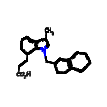 Cc1cn(Cc2ccc3ccccc3c2)c2c(C=CC(=O)O)cccc12